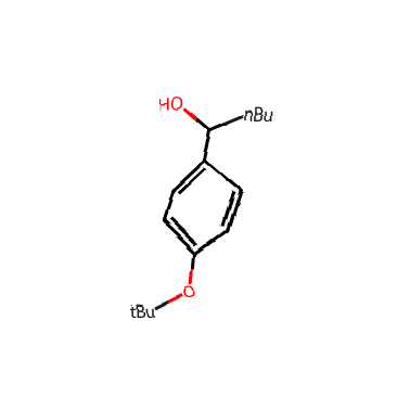 CCCCC(O)c1ccc(OC(C)(C)C)cc1